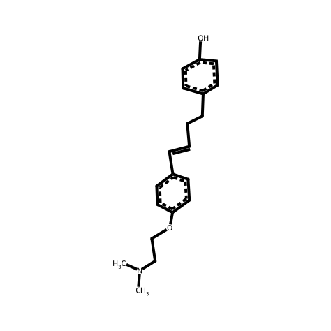 CN(C)CCOc1ccc(C=CCCc2ccc(O)cc2)cc1